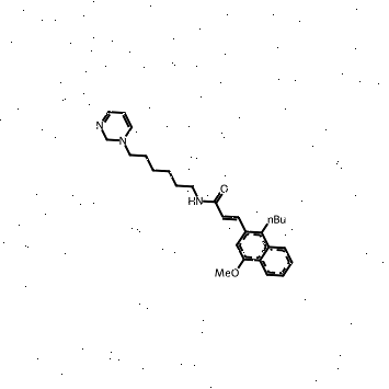 CCCCc1c(/C=C/C(=O)NCCCCCCN2C=CC=NC2)cc(OC)c2ccccc12